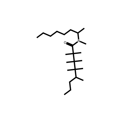 CCCCCCC(C)N(C)C(=O)C(C)(C)C(C)(C)C(C)(C)C(C)CCC